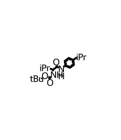 CC(C)c1ccc(NC(=O)C(NC(=O)OC(C)(C)C)C(C)C)cc1